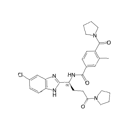 Cc1cc(C(=O)N[C@@H](CCC(=O)N2CCCC2)c2nc3cc(Cl)ccc3[nH]2)ccc1C(=O)N1CCCC1